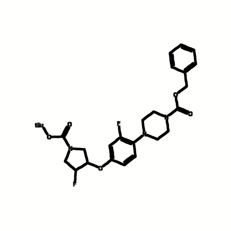 CC(C)(C)OC(=O)N1CC(F)C(Oc2ccc(N3CCN(C(=O)OCc4ccccc4)CC3)c(F)c2)C1